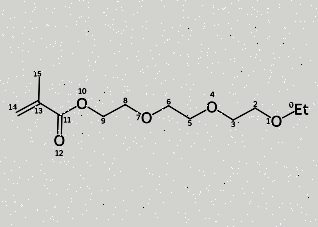 [CH2]COCCOCCOCCOC(=O)C(=C)C